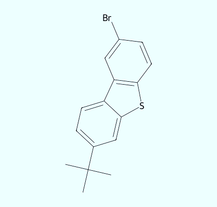 CC(C)(C)c1ccc2c(c1)sc1ccc(Br)cc12